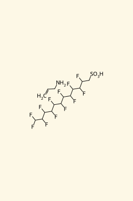 C=CCN.O=S(=O)(O)CC(F)C(F)C(F)C(F)C(F)C(F)C(F)C(F)C(F)C(F)C(F)F